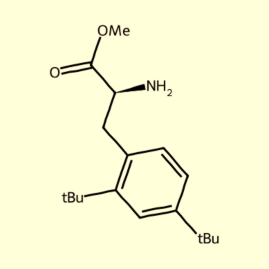 [CH2]OC(=O)[C@@H](N)Cc1ccc(C(C)(C)C)cc1C(C)(C)C